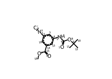 [C-]#[N+]c1cc(NC(=O)OC(C)(C)C)cc(C(=O)OC)c1